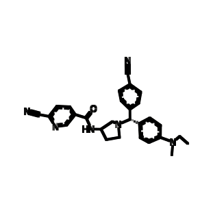 CCN(C)c1ccc([C@@H](c2ccc(C#N)cc2)N2CCC(NC(=O)c3ccc(C#N)nc3)C2)cc1